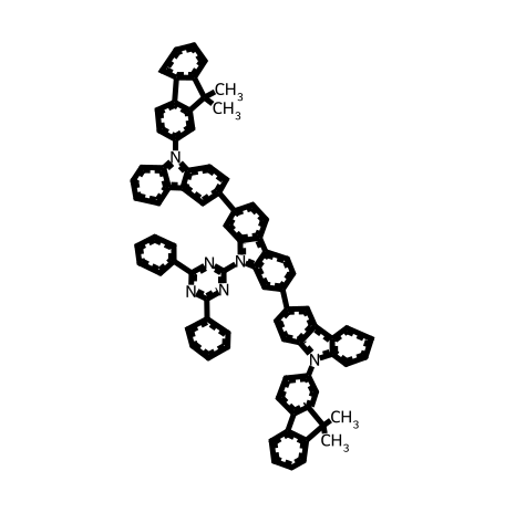 CC1(C)c2ccccc2-c2ccc(-n3c4ccccc4c4cc(-c5ccc6c7ccc(-c8ccc9c(c8)c8ccccc8n9-c8ccc9c(c8)C(C)(C)c8ccccc8-9)cc7n(-c7nc(-c8ccccc8)nc(-c8ccccc8)n7)c6c5)ccc43)cc21